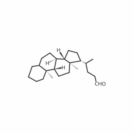 CC(CCC=O)[C@H]1CC[C@H]2[C@@H]3CCC4CCCC[C@]4(C)[C@H]3CC[C@]12C